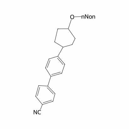 CCCCCCCCCOC1CCC(c2ccc(-c3ccc(C#N)cc3)cc2)CC1